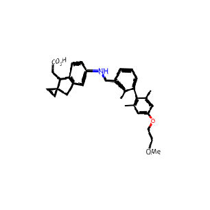 COCCOc1cc(C)c(-c2cccc(CNc3ccc4c(c3)CC3(CC3)C4CC(=O)O)c2C)c(C)c1